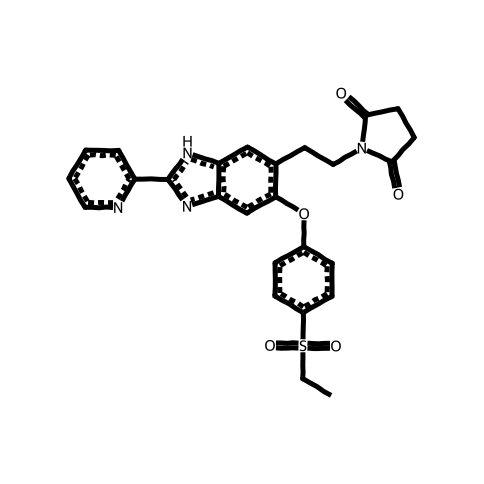 CCS(=O)(=O)c1ccc(Oc2cc3nc(-c4ccccn4)[nH]c3cc2CCN2C(=O)CCC2=O)cc1